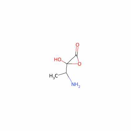 CC(N)C1(O)OC1=O